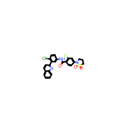 O=C(Nc1ccc(Cl)c(-c2ccc3ccccc3n2)c1)c1ccc(N2CCCS2(=O)=O)cc1F